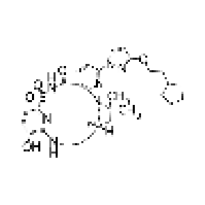 CC1(C)C[C@@H]2CCCNc3nc(ccc3O)S(=O)(=O)NC(=O)c3ccc(-n4ccc(OCCC5CCCC5)n4)nc3N1C2